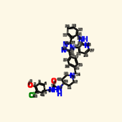 COc1ccc(NC(=O)NC2CCN(Cc3ccc(-c4nnc5n4-c4cccnc4Nc4ccccc4-5)cc3)CC2)cc1Cl